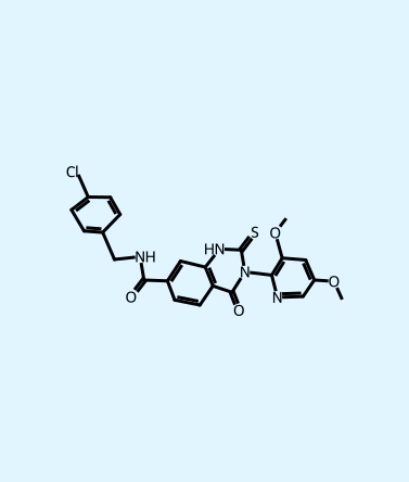 COc1cnc(-n2c(=S)[nH]c3cc(C(=O)NCc4ccc(Cl)cc4)ccc3c2=O)c(OC)c1